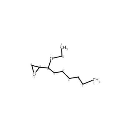 CCCCCCC(OCC)C1CO1